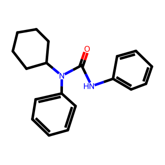 O=C(Nc1ccccc1)N(c1ccccc1)C1CCCCC1